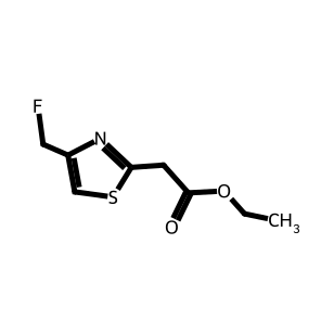 CCOC(=O)Cc1nc(CF)cs1